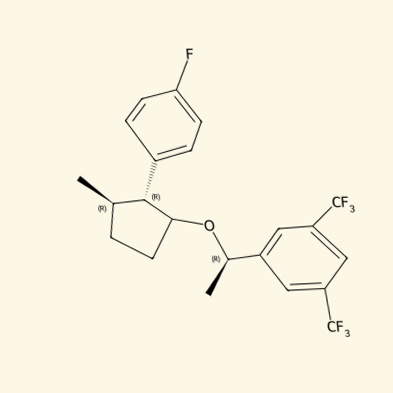 C[C@@H]1CCC(O[C@H](C)c2cc(C(F)(F)F)cc(C(F)(F)F)c2)[C@H]1c1ccc(F)cc1